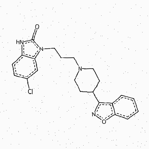 O=c1[nH]c2ccc(Cl)cc2n1CCCN1CCC(c2noc3ccccc23)CC1